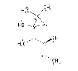 CC[C@H](S)C(C)S1(S)CC1(C)C